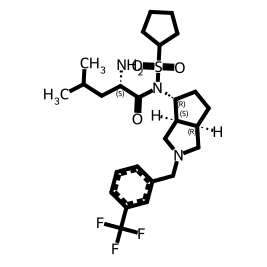 CC(C)C[C@H](N)C(=O)N([C@@H]1CC[C@H]2CN(Cc3cccc(C(F)(F)F)c3)C[C@H]21)S(=O)(=O)C1CCCC1